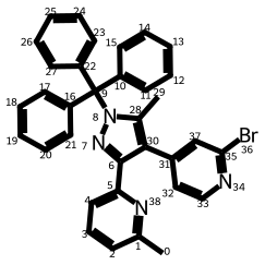 Cc1cccc(-c2nn(C(c3ccccc3)(c3ccccc3)c3ccccc3)c(C)c2-c2ccnc(Br)c2)n1